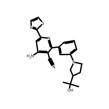 CC(C)(O)C1CCN(c2cccc(-c3nc(-c4nccs4)cc(N)c3C#N)c2)C1